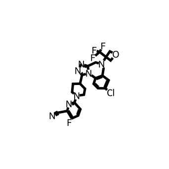 N#Cc1nc(N2CCC(c3nnc4n3-c3ccc(Cl)cc3CN(C3(C(F)(F)F)COC3)C4)CC2)ccc1F